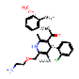 CCOC(=O)C1=C(COCCN)NC(C)=C(C(=O)OC)[C@@H]1c1ccccc1Cl.O.O.O=S(=O)(O)c1ccccc1